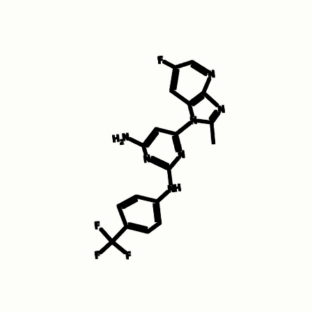 Cc1nc2ncc(F)cc2n1-c1cc(N)nc(Nc2ccc(C(F)(F)F)cc2)n1